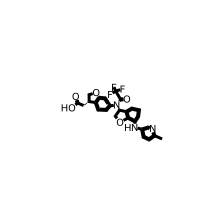 Cc1ccc(Nc2cccc3c2OC[C@H]3N(C(=O)C(F)(F)F)c2ccc3c(c2)OC[C@H]3CC(=O)O)cn1